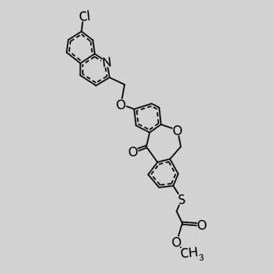 COC(=O)CSc1ccc2c(c1)COc1ccc(OCc3ccc4ccc(Cl)cc4n3)cc1C2=O